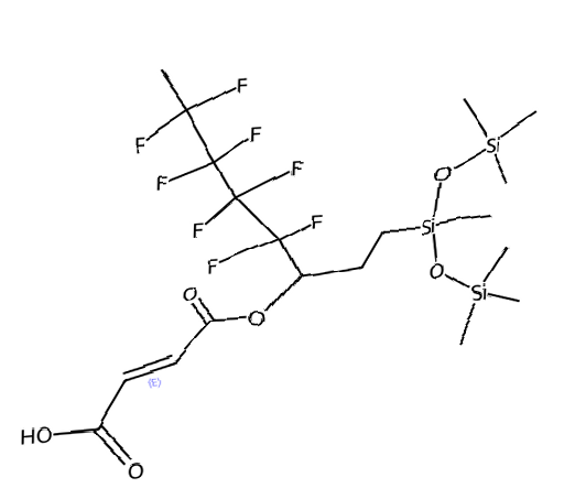 CC(F)(F)C(F)(F)C(F)(F)C(F)(F)C(CC[Si](C)(O[Si](C)(C)C)O[Si](C)(C)C)OC(=O)/C=C/C(=O)O